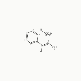 CC(=NO)c1ccccc1.CC(=O)O